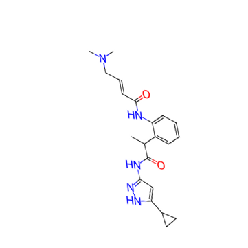 CC(C(=O)Nc1cc(C2CC2)[nH]n1)c1ccccc1NC(=O)C=CCN(C)C